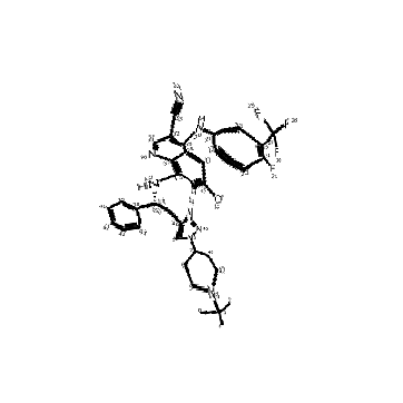 CC(C)(C)N1CCC(n2cc([C@@H](Nc3cc(Cl)cc4c(Nc5ccc(F)c(C(F)(F)F)c5)c(C#N)cnc34)c3ccccc3)nn2)CC1